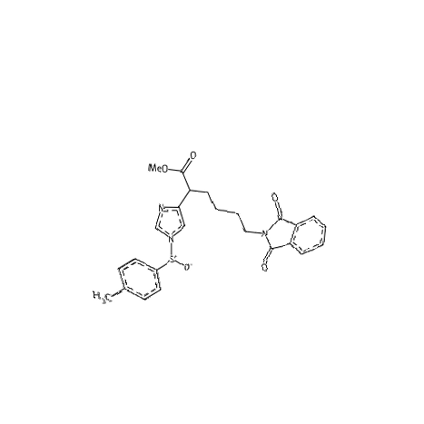 COC(=O)C(CCCCN1C(=O)c2ccccc2C1=O)c1cn([S+]([O-])c2ccc(C)cc2)cn1